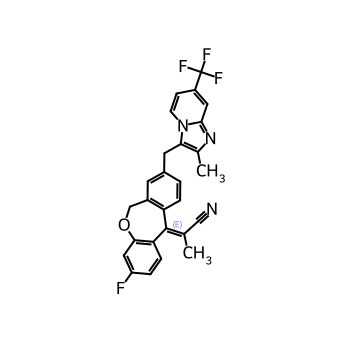 C/C(C#N)=C1/c2ccc(Cc3c(C)nc4cc(C(F)(F)F)ccn34)cc2COc2cc(F)ccc21